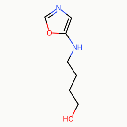 OCCCCNc1cnco1